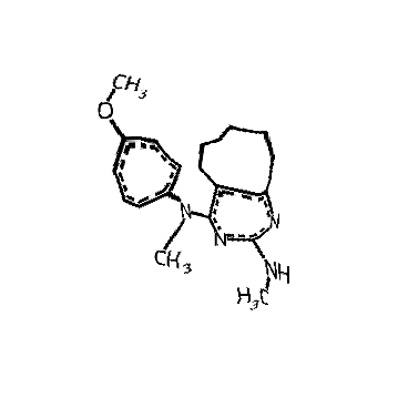 CNc1nc2c(c(N(C)c3ccc(OC)cc3)n1)CCCCC2